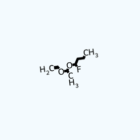 C=COC(C)OC(F)CCC